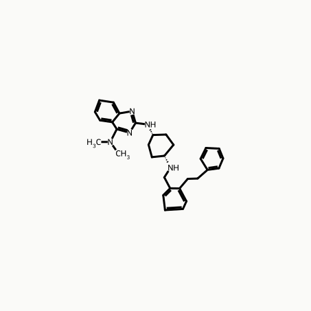 CN(C)c1nc(N[C@H]2CC[C@@H](NCc3ccccc3CCc3ccccc3)CC2)nc2ccccc12